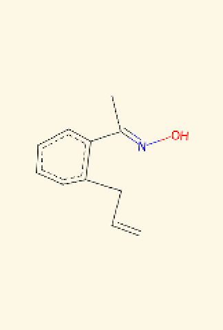 C=CCc1ccccc1C(C)=NO